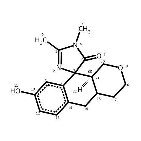 CC1=NC2(C(=O)N1C)c1cc(O)ccc1CC1CCOC[C@@H]12